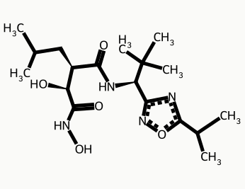 CC(C)C[C@@H](C(=O)N[C@H](c1noc(C(C)C)n1)C(C)(C)C)[C@H](O)C(=O)NO